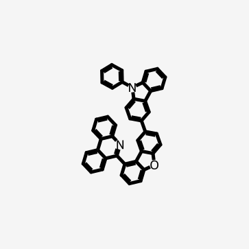 c1ccc(-n2c3ccccc3c3cc(-c4ccc5oc6cccc(-c7nc8ccccc8c8ccccc78)c6c5c4)ccc32)cc1